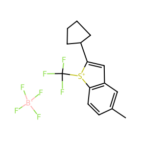 Cc1ccc2c(c1)cc(C1CCCC1)[s+]2C(F)(F)F.F[B-](F)(F)F